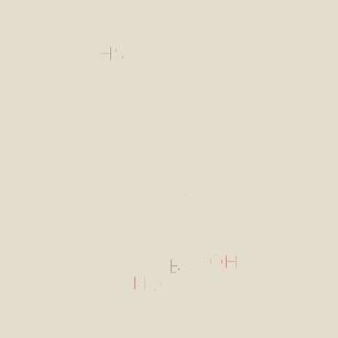 OB(O)COc1ccc(S)cc1